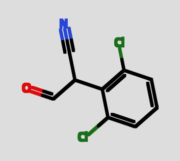 N#CC(C=O)c1c(Cl)cccc1Cl